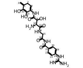 C=C1CC=C(NC(=O)C(O)[C@H](N)C(=O)NCC(=O)NC(=O)c2ccc(NC(=N)N)cc2)C(O)=C1O